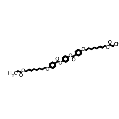 C=CC(=O)OC/C=C/CCCCCOc1ccc(C(=O)Oc2ccc(OC(=O)c3ccc(OCCCCC/C=C/COC(=O)C=C)cc3)cc2)cc1